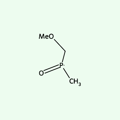 COC[P](C)=O